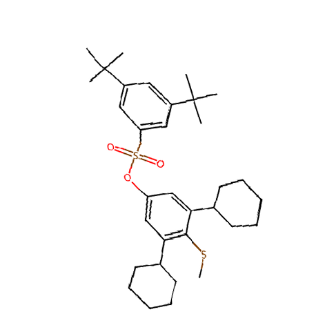 CSc1c(C2CCCCC2)cc(OS(=O)(=O)c2cc(C(C)(C)C)cc(C(C)(C)C)c2)cc1C1CCCCC1